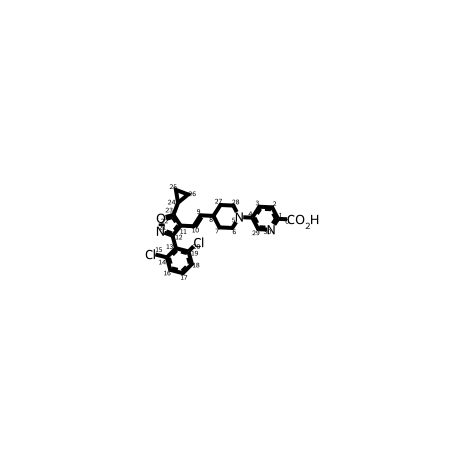 O=C(O)c1ccc(N2CCC(/C=C/c3c(-c4c(Cl)cccc4Cl)noc3C3CC3)CC2)cn1